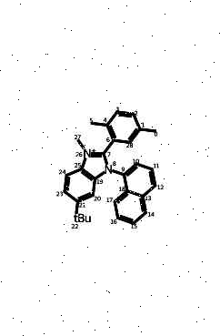 Cc1ccc(C)c(-c2n(-c3cccc4ccccc34)c3cc(C(C)(C)C)ccc3[n+]2C)c1